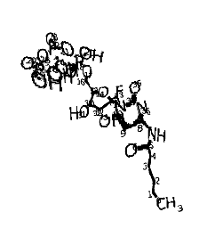 CCCCCC(=O)Nc1ccn([C@]2(F)O[C@H](COP(=O)(O)OP(=O)(O)OP(=O)(O)O)[C@@H](O)[C@H]2O)c(=O)n1